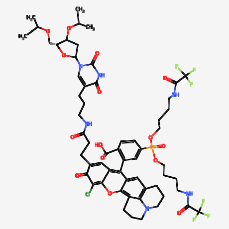 CC(C)OC[C@H]1OC(n2cc(CCCNC(=O)CCc3cc4c(-c5cc(P(=O)(OCCCCNC(=O)C(F)(F)F)OCCCCNC(=O)C(F)(F)F)ccc5C(=O)O)c5cc6c7c(c5oc-4c(Cl)c3=O)CCCN7CCC6)c(=O)[nH]c2=O)CC1OC(C)C